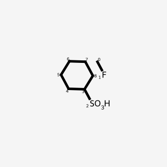 CF.O=S(=O)(O)C1CCCCC1